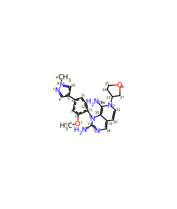 COc1cc(-c2cnn(C)c2)ccc1N1C(N)=NC=C2C=CN(C3CCOC3)C(N)=C21